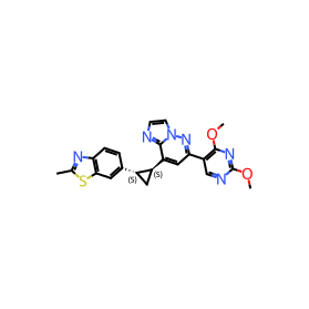 COc1ncc(-c2cc([C@H]3C[C@@H]3c3ccc4nc(C)sc4c3)c3nccn3n2)c(OC)n1